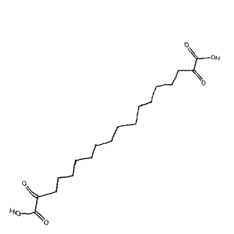 O=C(O)C(=O)CCCCCCCCCCCCCCC(=O)C(=O)O